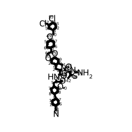 COC(=O)C(Cc1ccc(-c2ccc(C#N)cc2)cc1)NC(=O)C1Cc2cc3c(cc2CN1S(=O)(=O)c1nc(N)sc1C)OC(c1ccc(OCc2ccc(Cl)c(Cl)c2)cc1)CO3